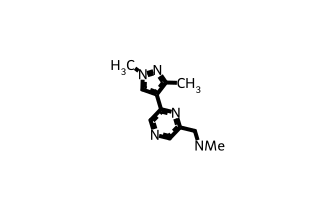 CNCc1cncc(-c2cn(C)nc2C)n1